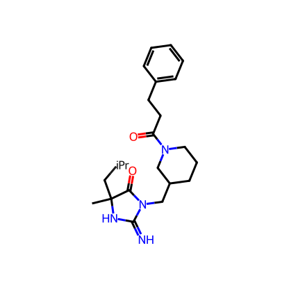 CC(C)CC1(C)NC(=N)N(CC2CCCN(C(=O)CCc3ccccc3)C2)C1=O